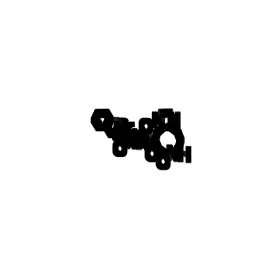 CC(C)C(NC(=O)OCc1ccccc1)C(=O)NC1Cc2nccnc2CCCNC(=O)C1=O